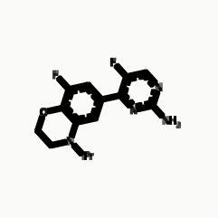 CC(C)N1CCOc2c(F)cc(-c3nc(N)ncc3F)cc21